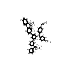 Cc1ccc(N(c2ccc(CO)cc2)c2cc(-c3ccc4c(c3)C(C)(C)c3ccccc3-4)cc(-c3ccc4c(c3)C(C)(C)c3ccccc3-4)c2)cc1